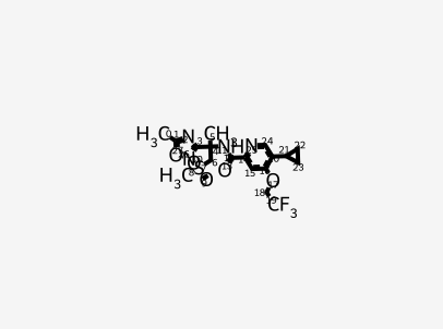 Cc1nc(C(C)(CS(C)(=O)=O)NC(=O)c2cc(OCC(F)(F)F)c(C3CC3)cn2)no1